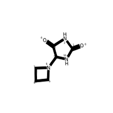 O=C1NC(=O)C(N2CCC2)N1